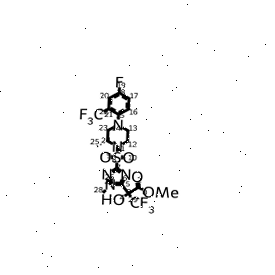 COC(=O)C(O)(c1nc(S(=O)(=O)N2CCN(c3ccc(F)cc3C(F)(F)F)C[C@H]2C)nn1C)C(F)(F)F